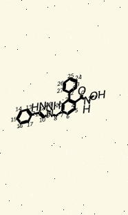 O=C(NO)c1ccc(CN2C=C(c3ccccc3)NN2)cc1-c1ccccc1